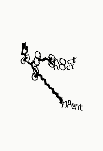 CCCCCC=CCC=CCCCCCCCC(=O)OCC(COC(=O)CCC(OCCCCCCCC)OCCCCCCCC)COC(=O)C1CCN(C)CC1